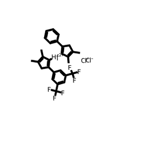 CC1=C(C)[C]([Hf+2][C]2=C(c3cc(C(F)(F)F)cc(C(F)(F)F)c3)CC(C)=C2C)=C(c2ccccc2)C1.[Cl-].[Cl-]